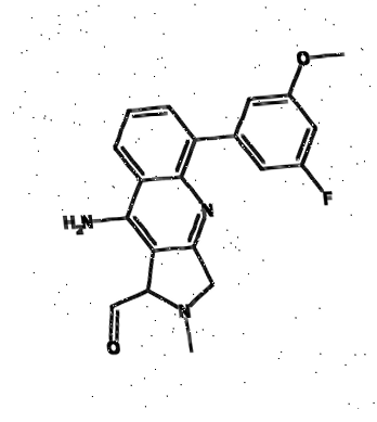 COc1cc(F)cc(-c2cccc3c(N)c4c(nc23)CN(C)C4C=O)c1